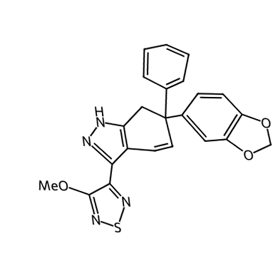 COc1nsnc1-c1n[nH]c2c1C=CC(c1ccccc1)(c1ccc3c(c1)OCO3)C2